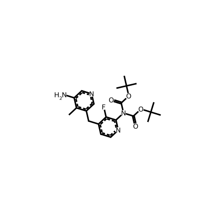 Cc1c(N)cncc1Cc1ccnc(N(C(=O)OC(C)(C)C)C(=O)OC(C)(C)C)c1F